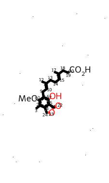 COc1c(C)c2c(c(O)c1C/C=C(\C)CC/C=C(\C)CCC(=O)O)C(=O)OC2